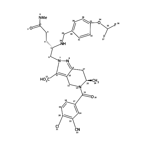 CNC(=O)CC[C@@H](Cn1nc2c(c1C(=O)O)CN(C(=O)c1ccc(Cl)c(C#N)c1)[C@H](C)C2)NCc1ccc(OC(F)F)cc1